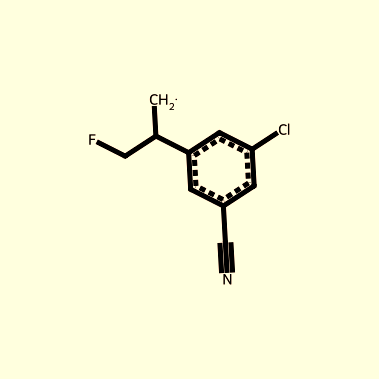 [CH2]C(CF)c1cc(Cl)cc(C#N)c1